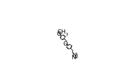 COc1ccc(COc2ccc(CCN3CCC=N3)cc2)cc1